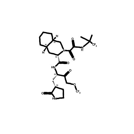 CC(C)(NC(=O)C(=O)N1C[C@H]2CCCC[C@H]2C[C@H]1C(=O)N[C@@H](C[C@@H]1CCNC1=O)C(=O)COC(F)(F)F)C(F)(F)F